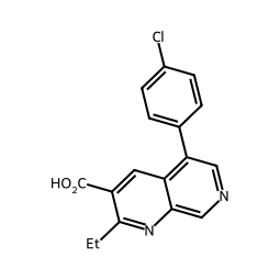 CCc1nc2cncc(-c3ccc(Cl)cc3)c2cc1C(=O)O